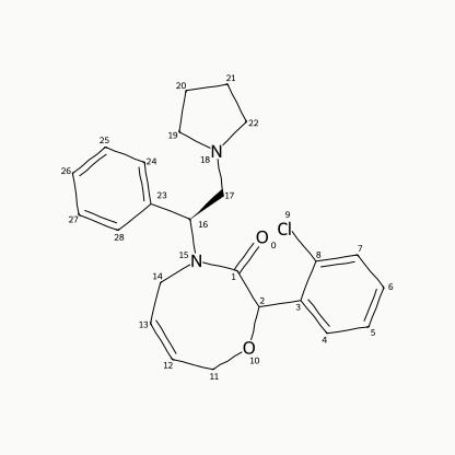 O=C1C(c2ccccc2Cl)OC/C=C\CN1[C@H](CN1CCCC1)c1ccccc1